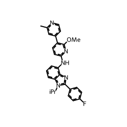 COc1nc(Nc2cccc3c2nc(-c2ccc(F)cc2)n3C(C)C)ccc1-c1ccnc(C)c1